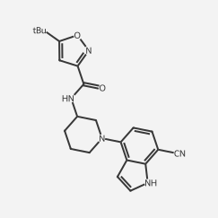 CC(C)(C)c1cc(C(=O)NC2CCCN(c3ccc(C#N)c4[nH]ccc34)C2)no1